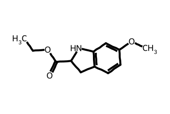 CCOC(=O)C1Cc2ccc(OC)cc2N1